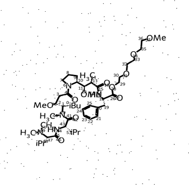 CC[C@H](C)[C@@H](C(CC(=O)N1CCC[C@H]1[C@H](OC)[C@@H](C)C(=O)N[C@@H](Cc1ccccc1)C(=O)OCCOCCOCCOC)OC)N(C)C(=O)[C@@H](NC(=O)[C@H](C(C)C)N(C)C)C(C)C